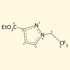 CCOC(=O)c1ccn(CC(F)(F)F)n1